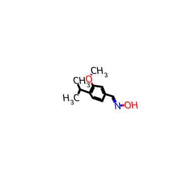 COc1cc(/C=N/O)ccc1C(C)C